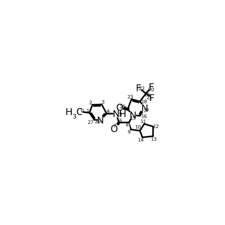 Cc1ccc(NC(=O)[C@H](CC2CCCC2)n2cnc(C(F)(F)F)cc2=O)nc1